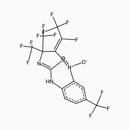 O=[N+]([O-])c1cc(C(F)(F)F)ccc1NC1=NC(C(F)(F)F)(C(F)(F)F)C(=C(F)C(F)(F)F)S1